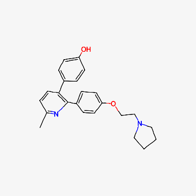 Cc1ccc(-c2ccc(O)cc2)c(-c2ccc(OCCN3CCCC3)cc2)n1